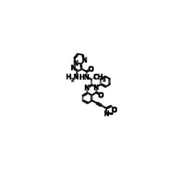 C[C@@H](NC(=O)c1c(N)nn2cccnc12)c1nc2cccc(C#Cc3cocn3)c2c(=O)n1-c1ccccc1